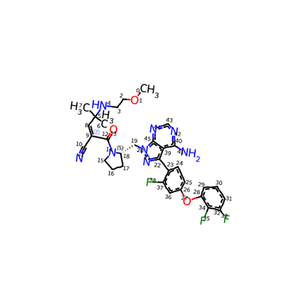 COCCNC(C)(C)/C=C(/C#N)C(=O)N1CCC[C@H]1Cn1nc(-c2ccc(Oc3cccc(F)c3F)cc2F)c2c(N)ncnc21